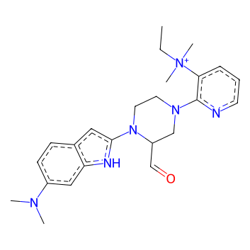 CC[N+](C)(C)c1cccnc1N1CCN(c2cc3ccc(N(C)C)cc3[nH]2)C(C=O)C1